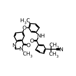 Cc1ccc(NC(=O)c2cccc(C(C)(C)C#N)c2)cc1Oc1ccc2ncn(C)c(=O)c2c1